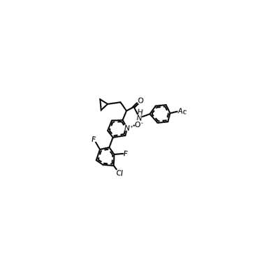 CC(=O)c1ccc(NC(=O)C(CC2CC2)c2ccc(-c3c(F)ccc(Cl)c3F)c[n+]2[O-])cc1